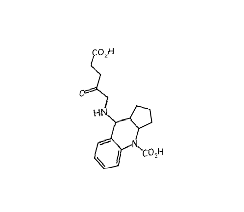 O=C(O)CCC(=O)CNC1c2ccccc2N(C(=O)O)C2CCCC12